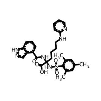 Cc1cc(C)c(S(=O)(=O)NC(CCCCNc2ccccn2)(NC(=O)c2cccc3[nH]ncc23)C(=O)O)c(C)c1